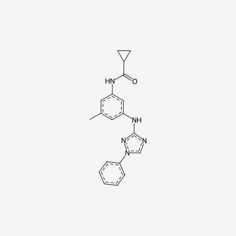 Cc1cc(NC(=O)C2CC2)cc(Nc2ncn(-c3ccccc3)n2)c1